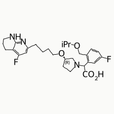 CC(C)OCc1ccc(F)cc1C(C(=O)O)N1CC[C@@H](OCCCCc2cc(F)c3c(n2)NCCC3)C1